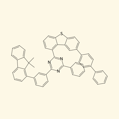 CC1(C)c2ccccc2-c2cccc(-c3cccc(-c4nc(-c5ccccc5)nc(-c5cccc6sc7ccc(-c8ccc(-c9ccccc9)cc8)cc7c56)n4)c3)c21